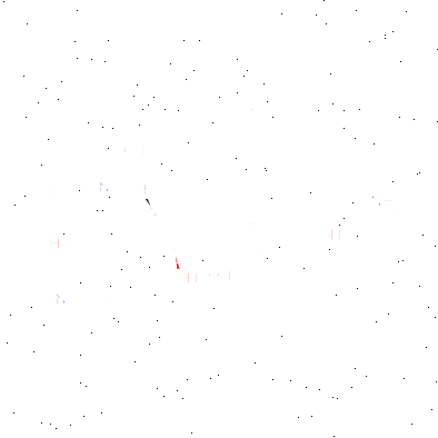 CN(C)C1C(O)=C(C(N)=O)C(=O)[C@@]2(O)C(O)=C3C(=O)c4c(O)c(CN)cc(Cl)c4C=C3C[C@@H]12